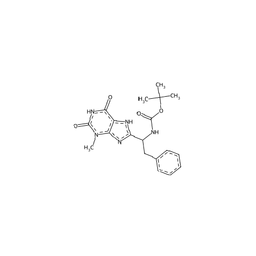 Cn1c(=O)[nH]c(=O)c2[nH]c(C(Cc3ccccc3)NC(=O)OC(C)(C)C)nc21